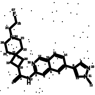 C=C(Nc1cc2cc(-c3cnn(C)c3)ccc2cn1)C1CC2(CCN(CCF)CC2)C1